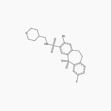 CC(C)c1cc2c(cc1S(=O)(=O)NCC1CCOCC1)S(=O)(=O)c1cc(F)ccc1CC2